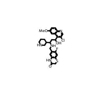 COc1ccc2ncc(Cl)c(C(O)CC(NCc3cc4c(cc3F)SCC(=O)N4)C3CCCNC3)c2c1